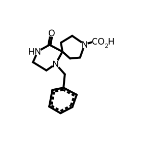 O=C(O)N1CCC2(CC1)C(=O)NCCN2Cc1ccccc1